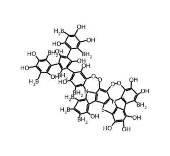 Bc1c(O)c(O)c(B)c(-c2c(B)c(-c3c(O)c(B)c4c(ooc5c6ooc7c(O)c(O)c(B)c8c9c(O)c(O)c(O)c%10sc(c%11c%12c(O)c(B)c(B)c(B)c%12n4c5%11)c6n(c78)c%109)c3O)c(O)c(-c3c(B)c(O)c(O)c(B)c3O)c2O)c1O